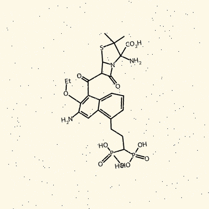 CCOc1c(N)cc2c(CCC(P(=O)(O)O)P(=O)(O)O)cccc2c1C(=O)C1C(=O)N2C1SC(C)(C)C2(N)C(=O)O